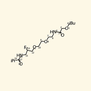 CCC(C)OCC(=O)NCCOCCOCC(F)CNC(=O)C(C)C